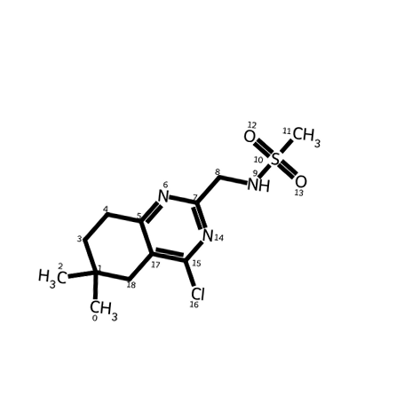 CC1(C)CCc2nc(CNS(C)(=O)=O)nc(Cl)c2C1